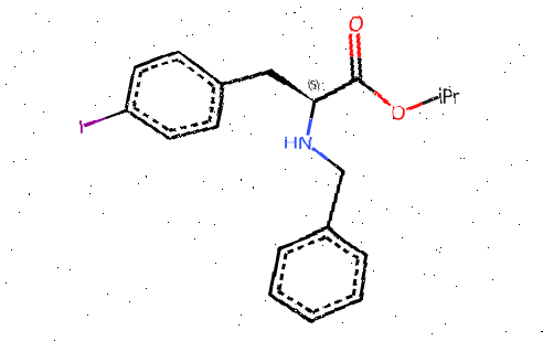 CC(C)OC(=O)[C@H](Cc1ccc(I)cc1)NCc1ccccc1